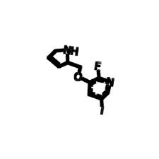 Fc1ncc(I)cc1OCC1C=CCN1